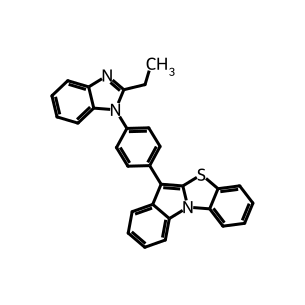 CCc1nc2ccccc2n1-c1ccc(-c2c3ccccc3n3c2sc2ccccc23)cc1